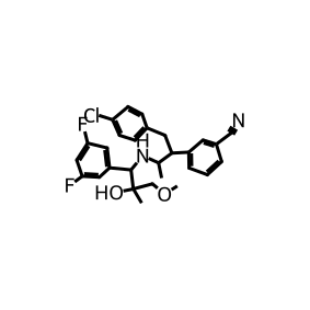 COCC(C)(O)C(NC(C)C(Cc1ccc(Cl)cc1)c1cccc(C#N)c1)c1cc(F)cc(F)c1